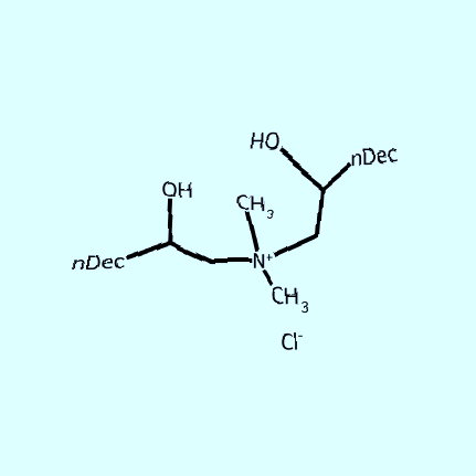 CCCCCCCCCCC(O)C[N+](C)(C)CC(O)CCCCCCCCCC.[Cl-]